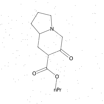 CCCOC(=O)C1CC2CCCN2CC1=O